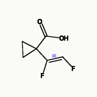 O=C(O)C1(/C(F)=C/F)CC1